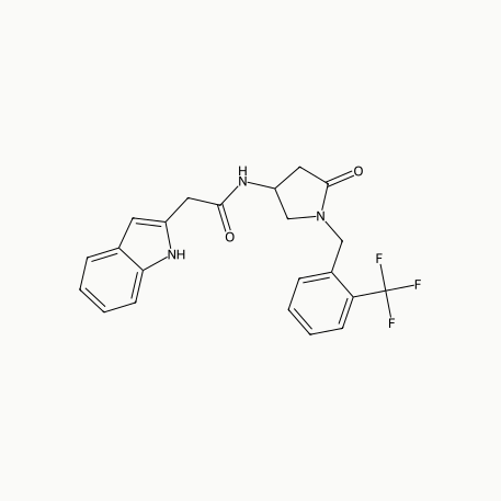 O=C(Cc1cc2ccccc2[nH]1)NC1CC(=O)N(Cc2ccccc2C(F)(F)F)C1